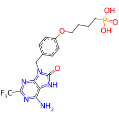 Nc1nc(C(F)(F)F)nc2c1[nH]c(=O)n2Cc1ccc(OCCCCP(=O)(O)O)cc1